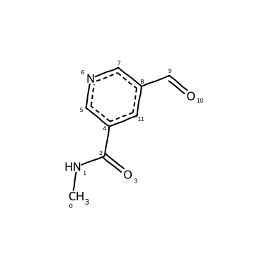 CNC(=O)c1cncc(C=O)c1